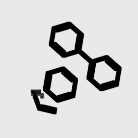 C=CN.c1ccc(-c2ccccc2)cc1.c1ccccc1